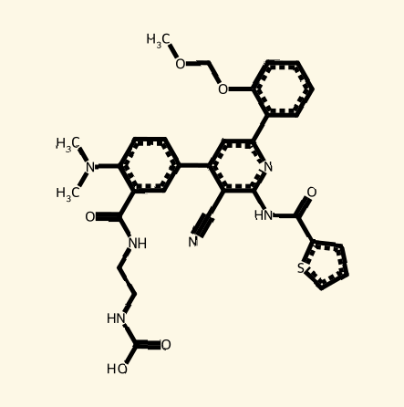 COCOc1ccccc1-c1cc(-c2ccc(N(C)C)c(C(=O)NCCNC(=O)O)c2)c(C#N)c(NC(=O)c2cccs2)n1